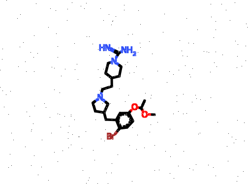 COC(C)Oc1ccc(Br)c(CC2CCN(CCC3CCN(C(=N)N)CC3)C2)c1